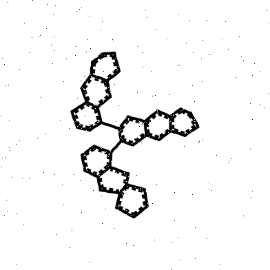 c1ccc2cc3cc(-c4cccc5cc6ccccc6cc45)c(-c4cccc5cc6ccccc6cc45)cc3cc2c1